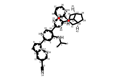 CC(C)Nc1cc(-c2ccc3cc(C#N)cnn23)ncc1-c1nnc(N2C[C@H]3CC[C@@H](C2)C3Nc2ncccn2)s1